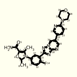 CC1=C(C(N)=O)OC(C)N1c1ccc(F)c(-c2nc3ncc(-c4ccc(N5CCOCC5)nc4)cn3n2)c1